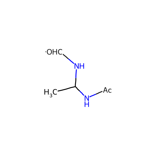 CC(=O)NC(C)N[C]=O